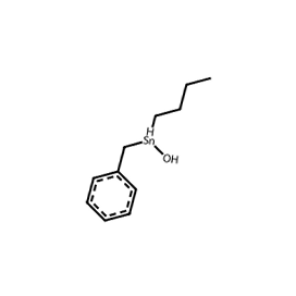 CCC[CH2][SnH]([OH])[CH2]c1ccccc1